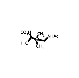 CC(=O)NC[N+](C)(C)C(C)C(=O)O